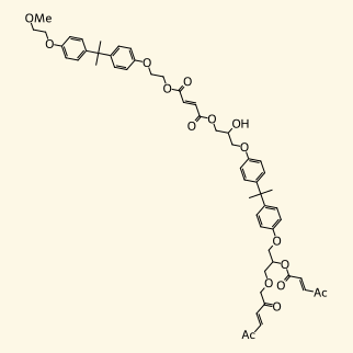 COCCOc1ccc(C(C)(C)c2ccc(OCCOC(=O)/C=C/C(=O)OCC(O)COc3ccc(C(C)(C)c4ccc(OCC(COCC(=O)/C=C/C(C)=O)OC(=O)/C=C/C(C)=O)cc4)cc3)cc2)cc1